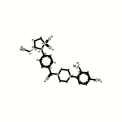 Cc1ccc(N2CCN(C(=O)c3ccc(N4[C@H](CO)CCS4(=O)=O)cc3)CC2)c(C)c1